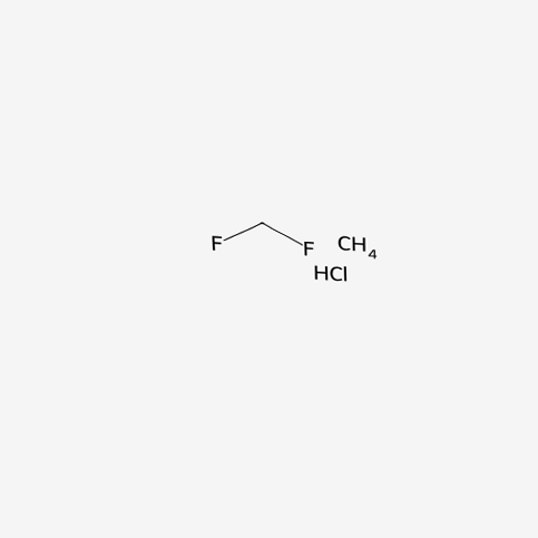 C.Cl.FCF